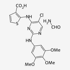 COc1cc(Nc2ncc(Cl)c(Nc3sccc3C(=O)O)n2)cc(OC)c1OC.NC=O